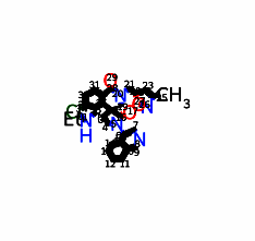 CCNC[C@H]1CN(c2cncc3ccccc23)C(=O)[C@]12CN(Cc1cc(C)no1)C(=O)c1ccc(Cl)cc12